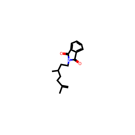 C=C(C)CCC(C)CCN1C(=O)c2ccccc2C1=O